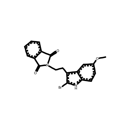 COc1ccc2[nH]c(Br)c(CCN3C(=O)c4ccccc4C3=O)c2c1